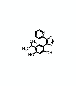 CC(C)c1cc(-c2ncoc2-c2ccccn2)c(O)cc1O